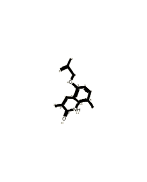 C=C(C)COc1ccc(C)c2[nH]c(=O)c(C)cc12